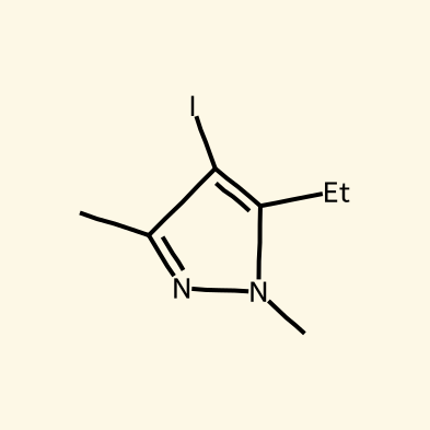 CCc1c(I)c(C)nn1C